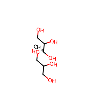 C.OCC(O)CO.OCC(O)CO